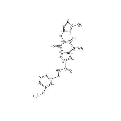 COc1cccc(CNC(=O)c2cc3c(=O)n(Cc4cnc(C)s4)c(=O)n(C)c3s2)c1